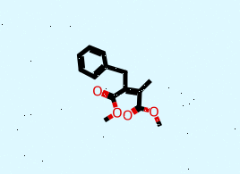 COC(=O)/C(C)=C(/Cc1ccccc1)C(=O)OC